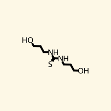 OCCCNC(=S)NCCCO